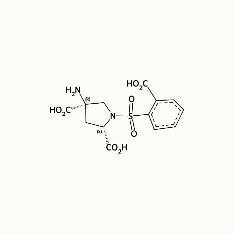 N[C@]1(C(=O)O)C[C@@H](C(=O)O)N(S(=O)(=O)c2ccccc2C(=O)O)C1